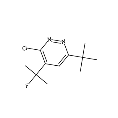 CC(C)(C)c1cc(C(C)(C)F)c(Cl)nn1